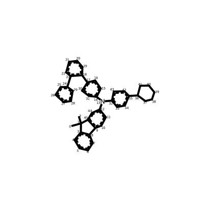 CC1(C)c2ccccc2-c2ccc(N(c3ccc(-c4ccccc4-c4ccccc4)cc3)c3ccc(C4CCCCC4)cc3)cc21